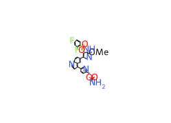 COc1ncc(-c2ccc3nccc(-c4ccc(COC(N)=O)nc4)c3c2)cc1NS(=O)(=O)c1ccc(F)cc1F